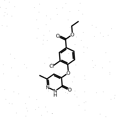 CCOC(=O)c1ccc(Oc2cc(C)n[nH]c2=O)c(Cl)c1